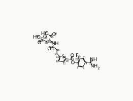 N=C(N)c1ccc(OC(=O)c2ccc(CCC(=O)N[C@@H](CS(=O)(=O)O)C(=O)O)s2)c(F)c1